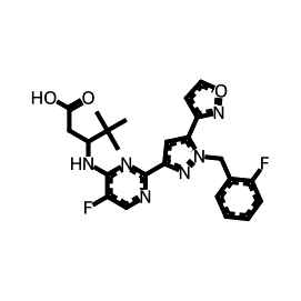 CC(C)(C)C(CC(=O)O)Nc1nc(-c2cc(-c3ccon3)n(Cc3ccccc3F)n2)ncc1F